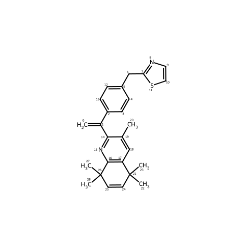 C=C(c1ccc(Cc2nccs2)cc1)c1nc2c(cc1C)C(C)(C)C=CC2(C)C